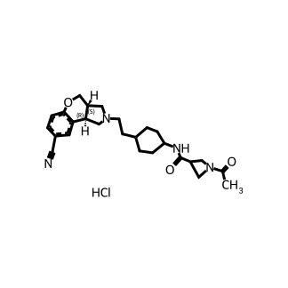 CC(=O)N1CC(C(=O)NC2CCC(CCN3C[C@H]4COc5ccc(C#N)cc5[C@@H]4C3)CC2)C1.Cl